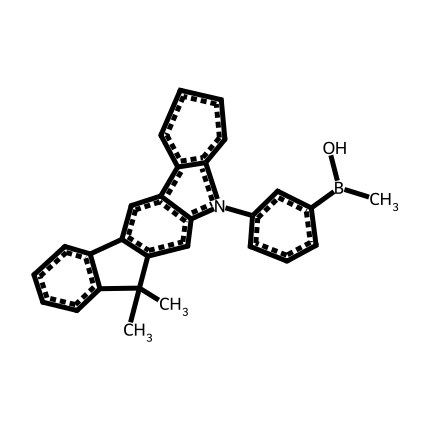 CB(O)c1cccc(-n2c3ccccc3c3cc4c(cc32)C(C)(C)c2ccccc2-4)c1